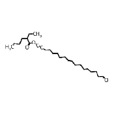 CCCCC(CC)C(=O)OCCCCCCCCCCCCCCCCCC=O